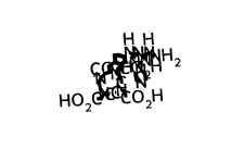 CN1CCN(c2nc(NN)nc(Nc3ccc(CC4CN(CC(=O)O)CCN(CC(=O)O)CCN(CC(=O)O)CCN4CC(=O)O)cc3)n2)CC1